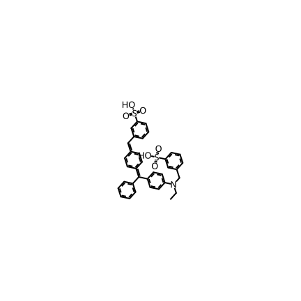 CCN(Cc1cccc(S(=O)(=O)O)c1)c1ccc(C(c2ccccc2)=c2ccc(=Cc3cccc(S(=O)(=O)O)c3)cc2)cc1